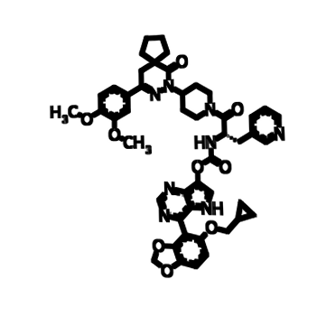 COc1ccc(C2=NN(C3CCN(C(=O)[C@H](Cc4cccnc4)NC(=O)Oc4c[nH]c5c(-c6c(OCC7CC7)ccc7c6OCO7)ncnc45)CC3)C(=O)C3(CCCC3)C2)cc1OC